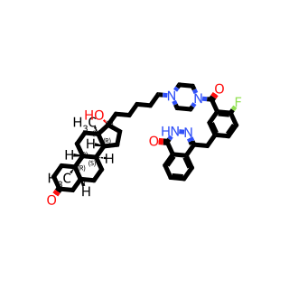 C[C@@]12CCC(=O)C[C@H]1CC[C@H]1[C@H]2CC[C@]2(C)[C@@H]1CC[C@]2(O)CCCCCN1CCN(C(=O)c2cc(Cc3n[nH]c(=O)c4ccccc34)ccc2F)CC1